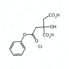 O=C(O)CC(O)(CC(=O)Oc1ccccc1)C(=O)O.[Cr]